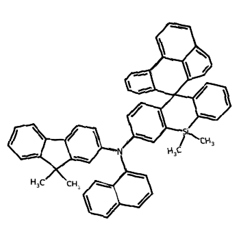 CC1(C)c2ccccc2-c2ccc(N(c3ccc4c(c3)[Si](C)(C)c3ccccc3C43c4ccccc4-c4cccc5cccc3c45)c3cccc4ccccc34)cc21